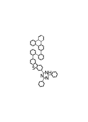 C1=CC2c3ccccc3-c3cc(-c4ccccc4-c4ccccc4-c4ccc5sc6cc(C7=NC(c8ccccc8)=NC(c8ccccc8)N7)ccc6c5c4)ccc3C2C=C1